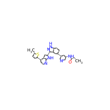 CCC(=O)Nc1cncc(-c2ccc3[nH]nc(-c4cc5c(-c6ccc(C)s6)ccnc5[nH]4)c3c2)c1